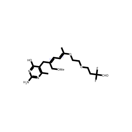 COC/C(=C\C=C(/C)OCCOCCC(F)(F)C=O)Cc1c(C)nc(N)nc1O